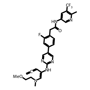 C=C=C/C(=C\N(C)CCOC)Nc1ncc(-c2ccc(CC(=O)Nc3cnc(C)c(C(F)(F)F)c3)c(F)c2)cn1